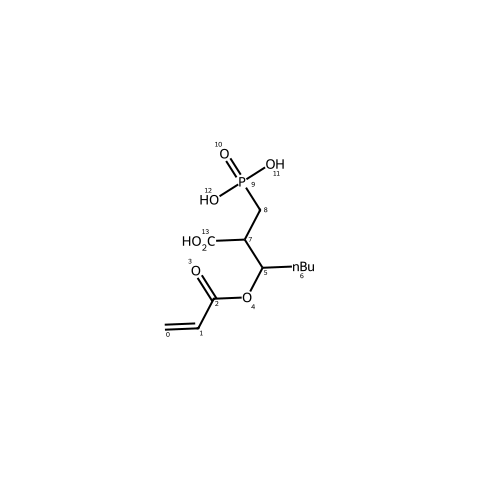 C=CC(=O)OC(CCCC)C(CP(=O)(O)O)C(=O)O